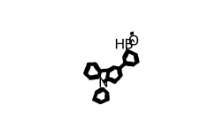 COBc1cccc(-c2ccc3c(c2)c2ccccc2n3-c2ccccc2)c1